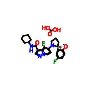 COc1ccc(F)cc1[C@H]1CCCN1c1ccn2ncc(C(=O)NC3CCCCC3)c2c1F.O=C(O)O